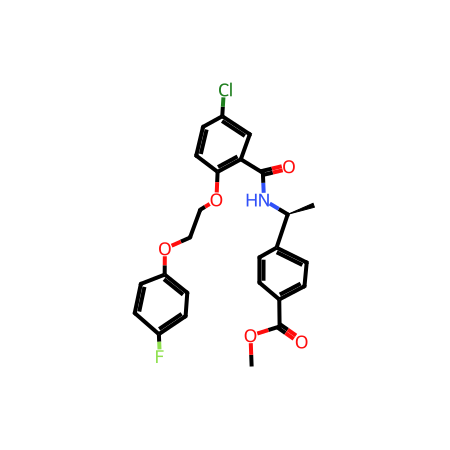 COC(=O)c1ccc([C@H](C)NC(=O)c2cc(Cl)ccc2OCCOc2ccc(F)cc2)cc1